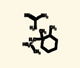 CC(=O)O.CC1CCCC[Si]1(C)C.N=C(N)N